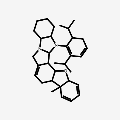 CC(C)C1=C(N2C3CCCCC3N3CC4=CCC5C(OC6C=CC=CC65C)C4C32)C(C(C)C)CC=C1